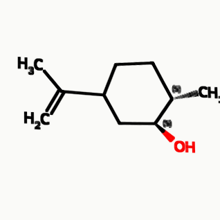 C=C(C)C1CC[C@H](C)[C@@H](O)C1